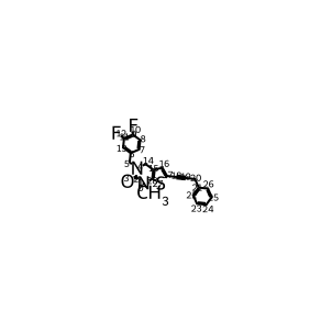 CN1C(=O)N(Cc2ccc(F)c(F)c2)Cc2cc(C#CCc3ccccc3)sc21